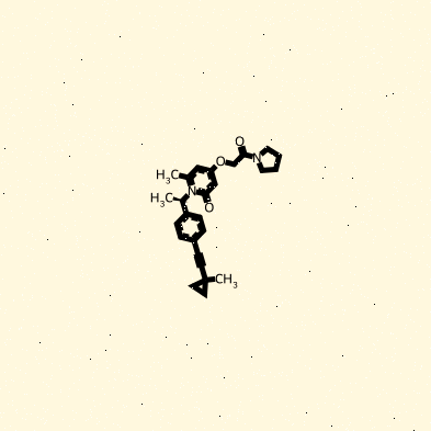 Cc1cc(OCC(=O)N2CCCC2)cc(=O)n1[C@H](C)c1ccc(C#CC2(C)CC2)cc1